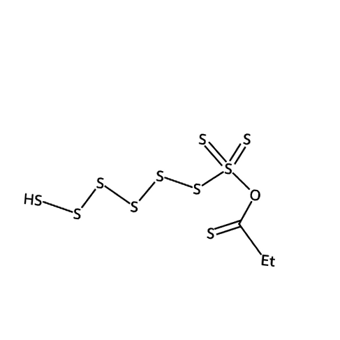 CCC(=S)OS(=S)(=S)SSSSSS